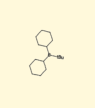 CC(C)(C)B(C1CCCCC1)C1CCCCC1